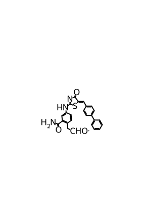 NC(=O)c1cc(NC2=NC(=O)C(=Cc3ccc(-c4ccccc4)cc3)S2)ccc1C[C]=O